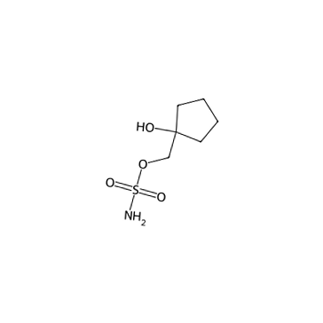 NS(=O)(=O)OCC1(O)CCCC1